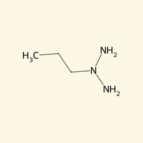 CCCN(N)N